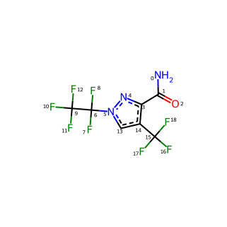 NC(=O)c1nn(C(F)(F)C(F)(F)F)cc1C(F)(F)F